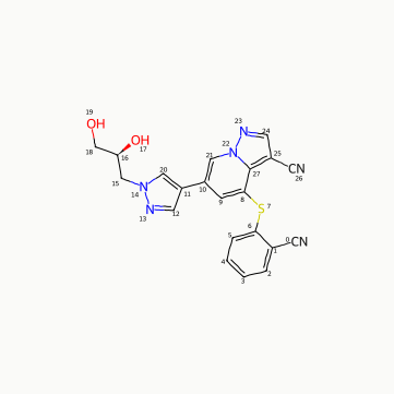 N#Cc1ccccc1Sc1cc(-c2cnn(C[C@H](O)CO)c2)cn2ncc(C#N)c12